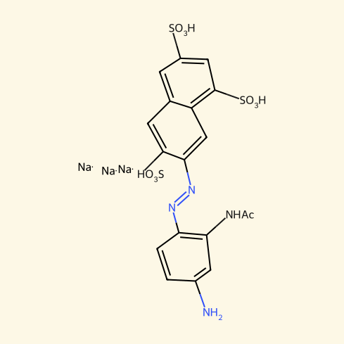 CC(=O)Nc1cc(N)ccc1N=Nc1cc2c(S(=O)(=O)O)cc(S(=O)(=O)O)cc2cc1S(=O)(=O)O.[Na].[Na].[Na]